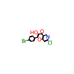 O=c1c(O)c(-c2ccc(Br)cc2)oc2cc(Cl)ncc12